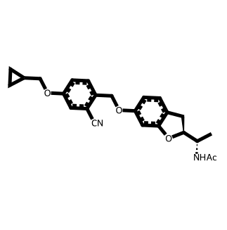 CC(=O)N[C@@H](C)[C@@H]1Cc2ccc(OCc3ccc(OCC4CC4)cc3C#N)cc2O1